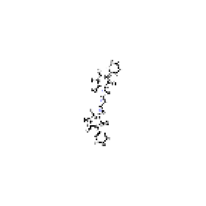 O=C1NC(=O)N(c2ccccc2)C(=O)/C1=C/C=C/C=C/C1C(=O)NC(=O)N(c2ccccc2)C1=O